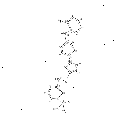 CC1(c2cc(NCc3cn(-c4ccc(Nc5ccccc5F)cc4)nn3)ccn2)CC1